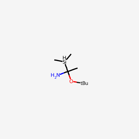 C[SiH](C)C(C)(N)OC(C)(C)C